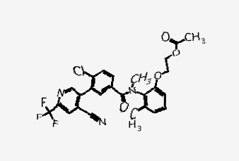 CC(=O)OCCOc1cccc(C)c1N(C)C(=O)c1ccc(Cl)c(-c2cnc(C(F)(F)F)cc2C#N)c1